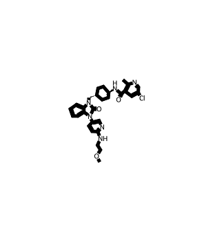 COCCNc1ccc(-n2c(=O)n(C[C@H]3CC[C@H](NC(=O)c4cc(Cl)cnc4C)CC3)c3ccccc32)cn1